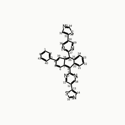 c1ccc(-c2ccc3c(-c4ncc(-c5cncs5)cn4)c4ccccc4c(-c4ncc(-c5cncs5)cn4)c3c2)cc1